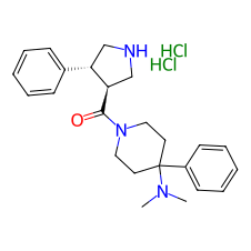 CN(C)C1(c2ccccc2)CCN(C(=O)[C@@H]2CNC[C@H]2c2ccccc2)CC1.Cl.Cl